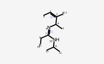 C/C=C(/F)C(C)/N=C(/CF)NC(C)C